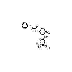 CC(C)(C)OC(=O)N[C@@H]1C[C@@H](NC(=O)OCc2ccccc2)CCC1=O